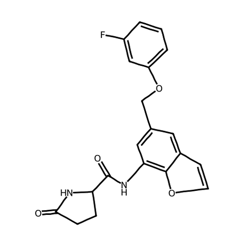 O=C1CCC(C(=O)Nc2cc(COc3cccc(F)c3)cc3ccoc23)N1